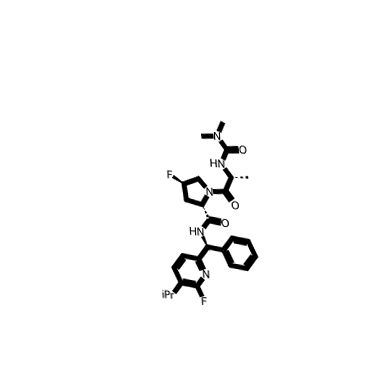 CC(C)c1ccc([C@@H](NC(=O)[C@@H]2C[C@@H](F)CN2C(=O)[C@@H](C)NC(=O)N(C)C)c2ccccc2)nc1F